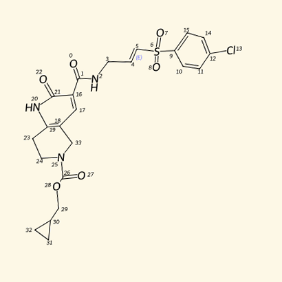 O=C(NC/C=C/S(=O)(=O)c1ccc(Cl)cc1)c1cc2c([nH]c1=O)CCN(C(=O)OCC1CC1)C2